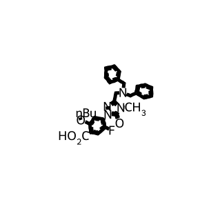 CCCCOc1cc(-n2nc(CN(Cc3ccccc3)Cc3ccccc3)n(C)c2=O)c(F)cc1C(=O)O